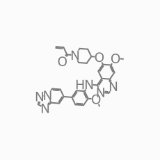 C=CC(=O)N1CCC(Oc2cc3c(Nc4cc(-c5ccn6ncnc6c5)ccc4OC)ncnc3cc2OC)CC1